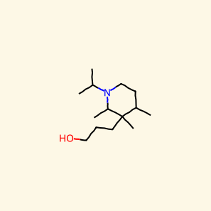 CC(C)N1CCC(C)C(C)(CCCO)C1C